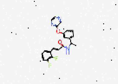 CC(NC(=O)C=Cc1cccc(F)c1F)c1cccc(Oc2cnccn2)c1